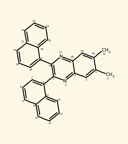 Cc1cc2nc(-c3cccc4ccccc34)c(-c3cccc4ccccc34)nc2cc1C